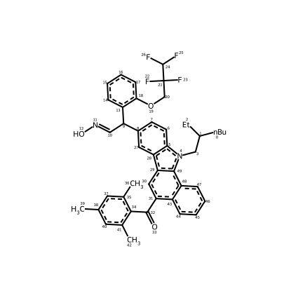 CCCCC(CC)Cn1c2ccc(C(C=NO)c3ccccc3OCC(F)(F)C(F)F)cc2c2cc(C(=O)c3c(C)cc(C)cc3C)c3ccccc3c21